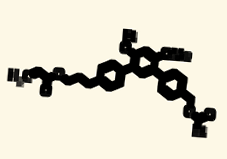 C=CC(=O)OCCCc1ccc(-c2cc(-c3ccc(COC(=O)CC)cc3)c(OC)cc2OCC)cc1